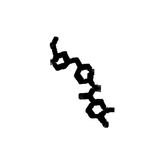 COc1cc(Cc2ccc(NC(=O)c3ccc(=O)n(C)c3)nc2)ccn1